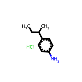 CCC(C)c1ccc(N)cc1.Cl